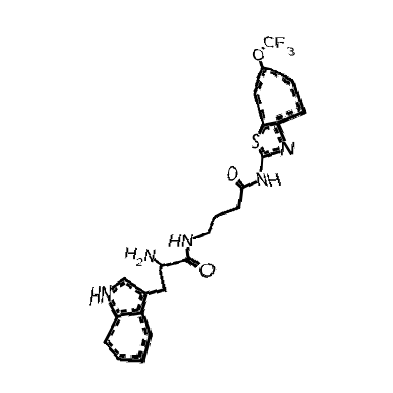 NC(Cc1c[nH]c2ccccc12)C(=O)NCCCC(=O)Nc1nc2ccc(OC(F)(F)F)cc2s1